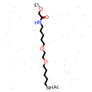 CCOCC(=O)NCCCCCOCCOCCCCCNC(C)=O